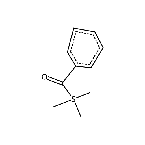 CS(C)(C)C(=O)c1ccccc1